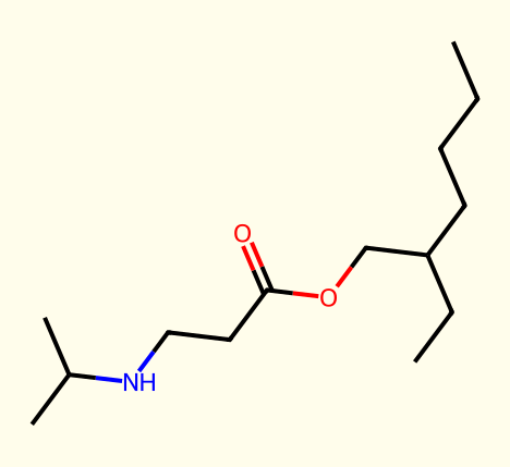 CCCCC(CC)COC(=O)CCNC(C)C